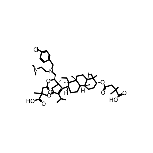 CC(C)C1=C2[C@H]3CC[C@@H]4[C@@]5(C)CC[C@H](OC(=O)CC(C)(C)C(=O)O)C(C)(C)[C@@H]5CC[C@@]4(C)[C@]3(C)CC[C@@]2([C@H](CN(CCN(C)C)Cc2ccc(Cl)cc2)OC(=O)CC(C)(C)C(=O)O)CC1=O